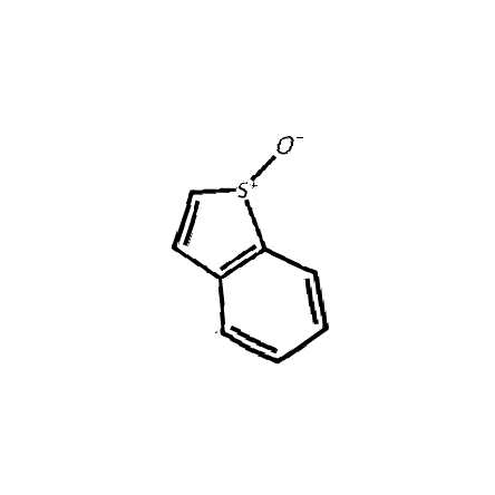 [O-][s+]1ccc2[c]cccc21